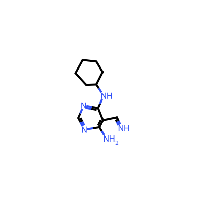 N=Cc1c(N)ncnc1NC1CCCCC1